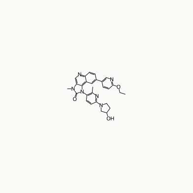 CCOc1ccc(-c2ccc3ncc4c(c3c2)n(-c2ccc(N3CCC(O)C3)nc2C)c(=O)n4C)cn1